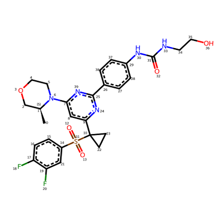 C[C@H]1COCCN1c1cc(C2(S(=O)(=O)c3ccc(F)c(F)c3)CC2)nc(-c2ccc(NC(=O)NCCO)cc2)n1